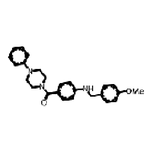 COc1ccc(CNc2ccc(C(=O)N3CCN(c4ccccc4)CC3)cc2)cc1